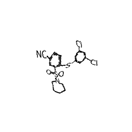 N#Cc1ccc(Sc2cc(Cl)cc(Cl)c2)c(S(=O)(=O)N2CCCCC2)c1